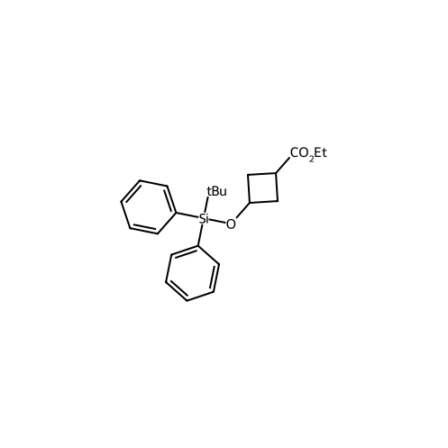 CCOC(=O)C1CC(O[Si](c2ccccc2)(c2ccccc2)C(C)(C)C)C1